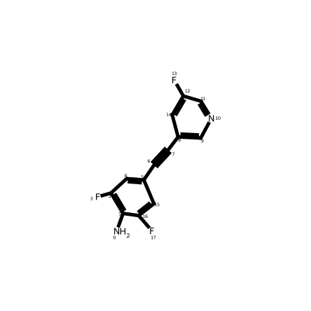 Nc1c(F)cc(C#Cc2cncc(F)c2)cc1F